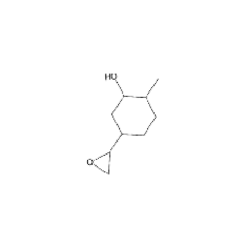 CC1CCC(C2CO2)CC1O